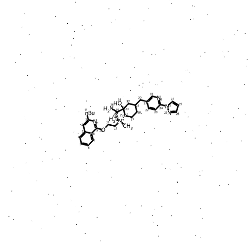 CCCCc1cc2ccccc2c(OCC[N+](C)(C)[C@H]2CCC(Cc3ccc(-n4cccn4)nc3)C[C@@]2(O)C(N)=O)n1